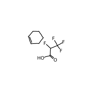 C1=CCCCC1.O=C(O)C(F)C(F)(F)F